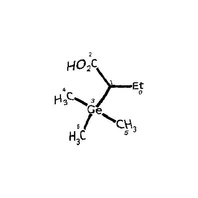 CC[CH](C(=O)O)[Ge]([CH3])([CH3])[CH3]